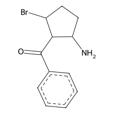 NC1CCC(Br)C1C(=O)c1ccccc1